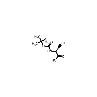 C#C[C@H](NC(=O)OC(C)(C)C)C(=O)O